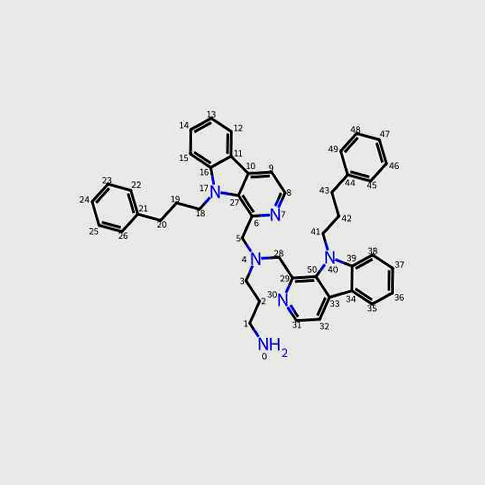 NCCCN(Cc1nccc2c3ccccc3n(CCCc3ccccc3)c12)Cc1nccc2c3ccccc3n(CCCc3ccccc3)c12